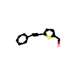 O=Cc1ccc(C#Cc2ccccc2)s1